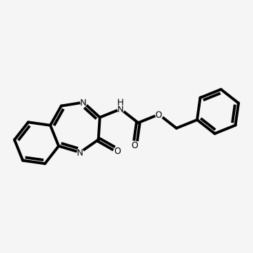 O=C(Nc1ncc2ccccc2nc1=O)OCc1ccccc1